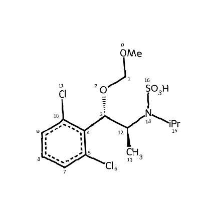 COCO[C@@H](c1c(Cl)cccc1Cl)[C@H](C)N(C(C)C)S(=O)(=O)O